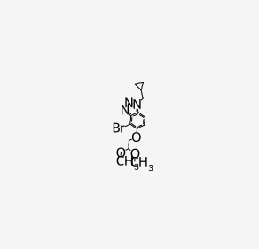 COC(COc1ccc2c(nnn2CC2CC2)c1Br)OC